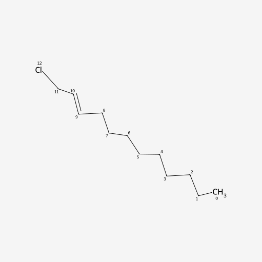 CCCCCCCCCC=CCCl